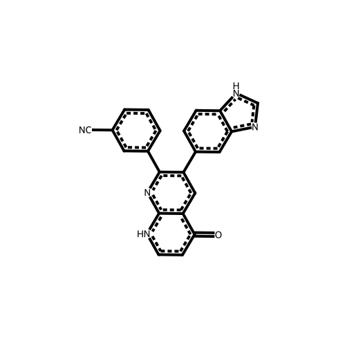 N#Cc1cccc(-c2nc3[nH]ccc(=O)c3cc2-c2ccc3[nH]cnc3c2)c1